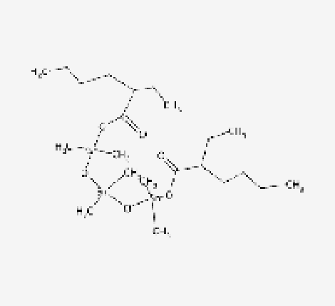 CCCCC(CC)C(=O)[O][Sn]([CH3])([CH3])[O][Sn]([CH3])([CH3])[O][Sn]([CH3])([CH3])[O]C(=O)C(CC)CCCC